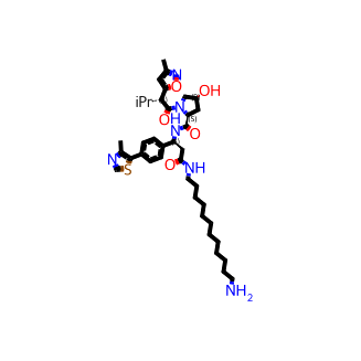 Cc1cc([C@H](C(=O)N2C[C@H](O)C[C@H]2C(=O)N[C@@H](CC(=O)NCCCCCCCCCCCCN)c2ccc(-c3scnc3C)cc2)C(C)C)on1